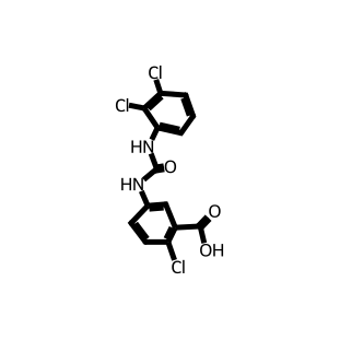 O=C(Nc1ccc(Cl)c(C(=O)O)c1)Nc1cccc(Cl)c1Cl